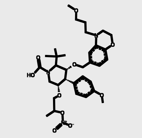 COCCCN1CCOc2ccc(CO[C@H]3C(C(C)(C)C)N(C(=O)O)C[C@@H](OCC(C)O[N+](=O)[O-])[C@H]3c3ccc(OC)cc3)cc21